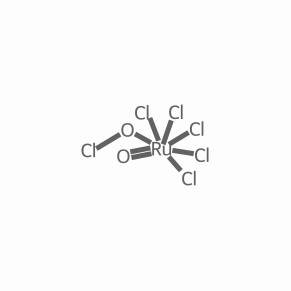 [O]=[Ru]([Cl])([Cl])([Cl])([Cl])([Cl])[O]Cl